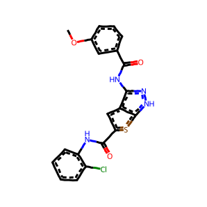 COc1cccc(C(=O)Nc2n[nH]c3sc(C(=O)Nc4ccccc4Cl)cc23)c1